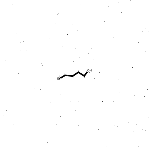 [CH2]CCC[CH]CO